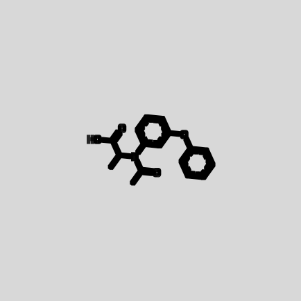 CC(=O)N(c1cccc(Oc2ccccc2)c1)C(C)C(=O)O